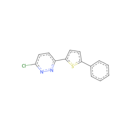 Clc1ccc(-c2ccc(-c3ccccc3)s2)nn1